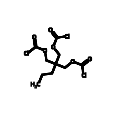 CCCC(COC(=O)Cl)(COC(=O)Cl)COC(=O)Cl